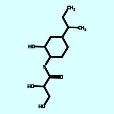 CCC(C)C1CCC(SC(=O)C(O)CO)C(O)C1